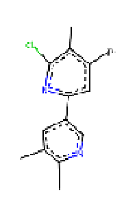 Cc1cc(-c2cc(C(C)C)c(C)c(Cl)n2)cnc1C